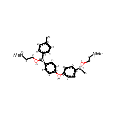 CNCCOB(C)c1ccc(Oc2ccc(B(OCCNC)c3ccc(C)cc3)cc2)cc1